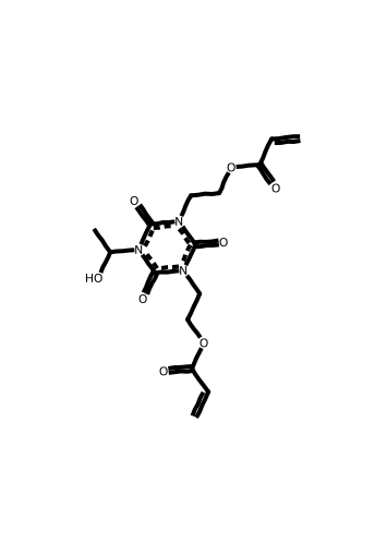 C=CC(=O)OCCn1c(=O)n(CCOC(=O)C=C)c(=O)n(C(C)O)c1=O